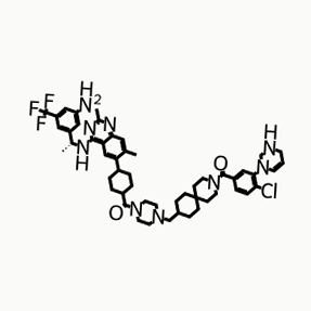 Cc1nc(N[C@H](C)c2cc(N)cc(C(F)(F)F)c2)c2cc(C3CCC(C(=O)N4CCN(CC5CCC6(CC5)CCN(C(=O)c5ccc(Cl)c(N7C=CCNC7)c5)CC6)CC4)CC3)c(C)cc2n1